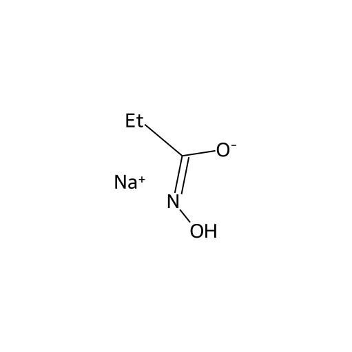 CCC([O-])=NO.[Na+]